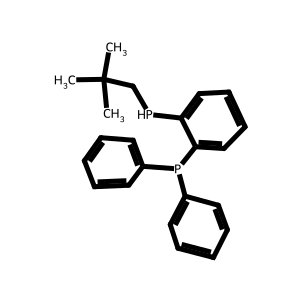 CC(C)(C)CPc1ccccc1P(c1ccccc1)c1ccccc1